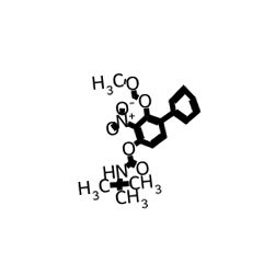 COCOc1c(-c2ccccc2)ccc(OC(=O)NC(C)(C)C)c1[N+](=O)[O-]